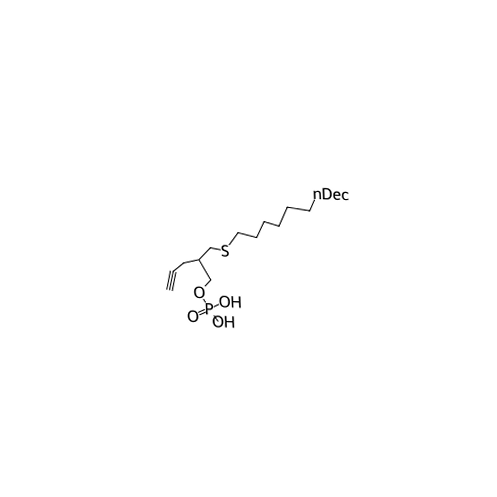 C#CCC(COP(=O)(O)O)CSCCCCCCCCCCCCCCCC